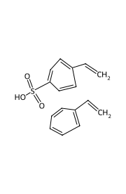 C=Cc1ccc(S(=O)(=O)O)cc1.C=Cc1ccccc1